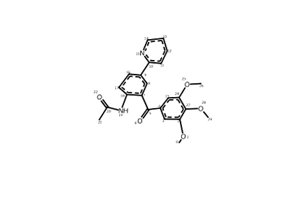 COc1cc(C(=O)c2cc(-c3ccccn3)ccc2NC(C)=O)cc(OC)c1OC